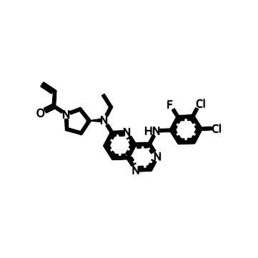 C=CC(=O)N1CC[C@H](N(CC)c2ccc3ncnc(Nc4ccc(Cl)c(Cl)c4F)c3n2)C1